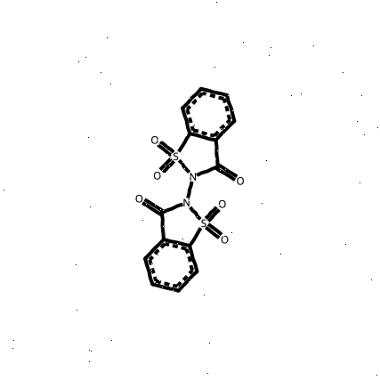 O=C1c2ccccc2S(=O)(=O)N1N1C(=O)c2ccccc2S1(=O)=O